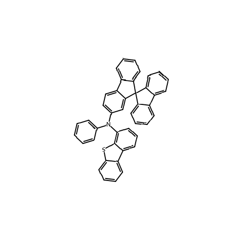 c1ccc(N(c2ccc3c(c2)C2(c4ccccc4-c4ccccc42)c2ccccc2-3)c2cccc3c2sc2ccccc23)cc1